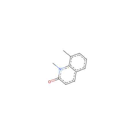 Cc1cccc2ccc(=O)n(C)c12